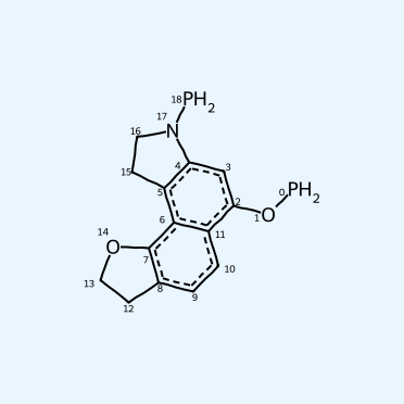 POc1cc2c(c3c4c(ccc13)CCO4)CCN2P